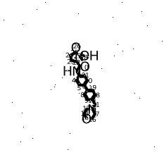 O=C(Nc1ccc(-c2ccc(CN3CCOCC3)cc2)cc1)C1CCC(=O)N1O